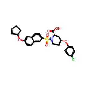 O=C(O)[C@@H]1C[C@@H](Oc2ccc(Cl)cc2)CCN1S(=O)(=O)c1ccc2cc(OC3CCCC3)ccc2c1